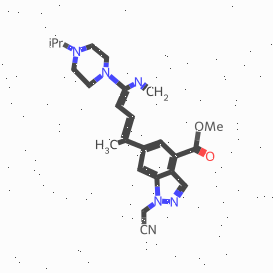 C=N/C(=C\C=C(/C)c1cc(C(=O)OC)c2cnn(CC#N)c2c1)N1CCN(C(C)C)CC1